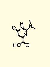 CN(C)c1nc(C(=O)O)cc(=O)[nH]1